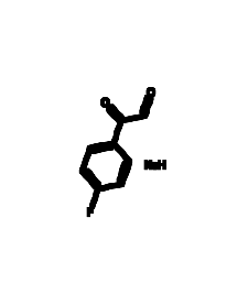 O=CC(=O)c1ccc(F)cc1.[NaH]